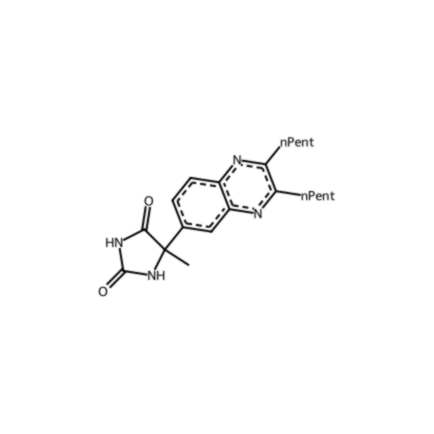 CCCCCc1nc2ccc(C3(C)NC(=O)NC3=O)cc2nc1CCCCC